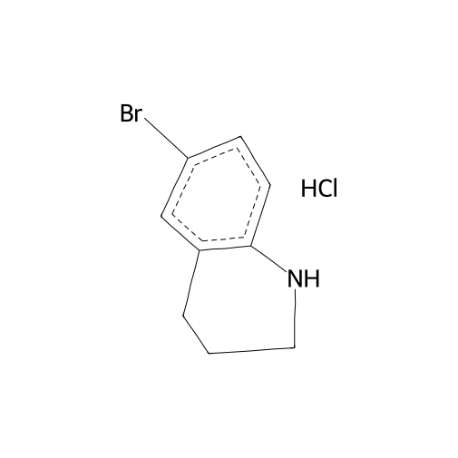 Brc1ccc2c(c1)CCCN2.Cl